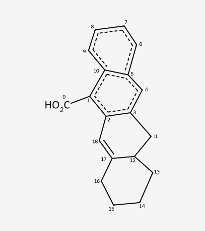 O=C(O)c1c2c(cc3ccccc13)CC1CCCCC1=C2